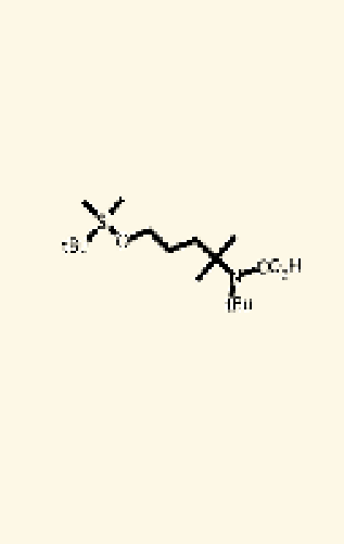 CC(C)(C)N(C(=O)O)C(C)(C)CCCO[Si](C)(C)C(C)(C)C